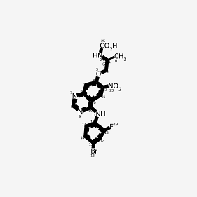 C[C@@H](COc1cc2ncnc(Nc3ccc(Br)cc3F)c2cc1[N+](=O)[O-])NC(=O)O